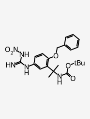 CC(C)(C)OC(=O)NC(C)(C)c1cc(NC(=N)N[N+](=O)[O-])ccc1OCc1ccccc1